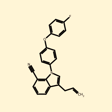 C=CCc1cn(-c2ccc(Oc3ccc(F)cc3)cc2)c2c(C#N)cccc12